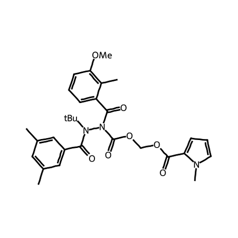 COc1cccc(C(=O)N(C(=O)OCOC(=O)c2cccn2C)N(C(=O)c2cc(C)cc(C)c2)C(C)(C)C)c1C